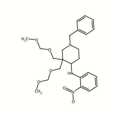 COCOCC1(COCOC)CN(Cc2ccccc2)CCC1Nc1ccccc1[N+](=O)[O-]